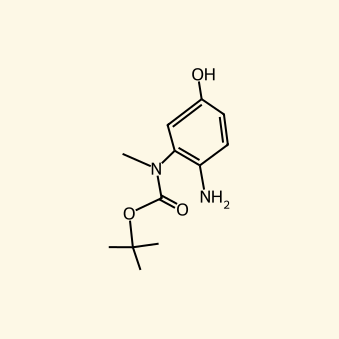 CN(C(=O)OC(C)(C)C)c1cc(O)ccc1N